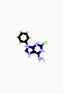 Nc1nc(Cl)nc2c1ncn2-c1ccccc1